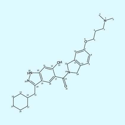 CN(C)CCCOc1ccc2c(c1)CN(C(=O)c1cc3c(CC4CCCCC4)n[nH]c3cc1O)C2